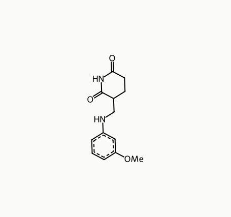 COc1cccc(NCC2CCC(=O)NC2=O)c1